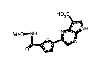 CONC(=O)c1ccc(-c2cnc3[nH]cc(C(=O)O)c3n2)s1